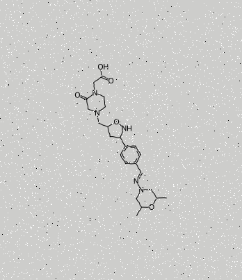 CC1CN(N=Cc2ccc(C3CC(CN4CCN(CC(=O)O)C(=O)C4)ON3)cc2)CC(C)O1